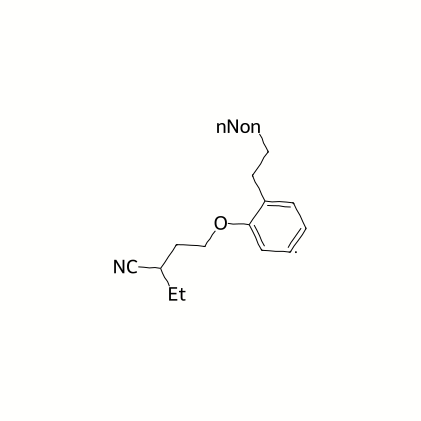 CCCCCCCCCCCc1cc[c]cc1OCCC(C#N)CC